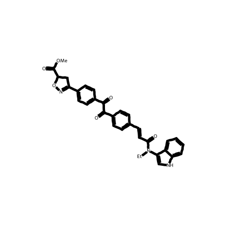 CCN(C(=O)C=Cc1ccc(C(=O)C(=O)c2ccc(C3=NOC(C(=O)OC)C3)cc2)cc1)c1c[nH]c2ccccc12